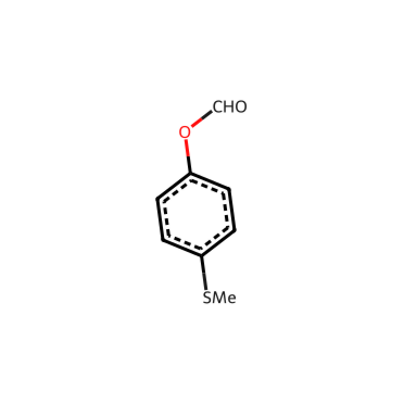 CSc1ccc(OC=O)cc1